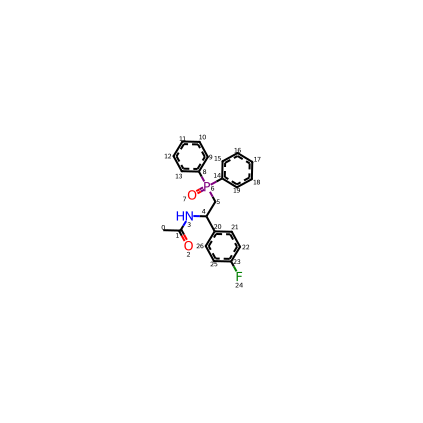 CC(=O)NC(CP(=O)(c1ccccc1)c1ccccc1)c1ccc(F)cc1